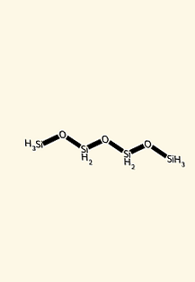 [SiH3]O[SiH2]O[SiH2]O[SiH3]